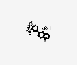 COc1ncc(C2CCc3c(F)cccc3C2=NO)cc1S(C)(=O)=O